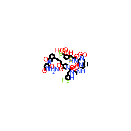 COC(=O)N1CC[C@H]2CC[C@@H](C(=O)NC(C)C(=O)NC(Cc3ccc(F)c(F)c3)C(=O)N3CCC(CCC#Cc4cccc5c4CN(C4CCC(=O)NC4=O)C5=O)C(OC(N)=O)C3)N2C(=O)[C@@H](NC(=O)c2cc3cc(C(F)(F)P(=O)(O)O)ccc3s2)C1